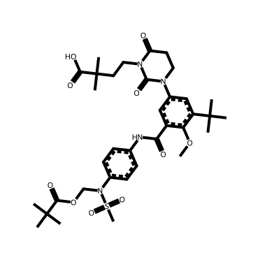 COc1c(C(=O)Nc2ccc(N(COC(=O)C(C)(C)C)S(C)(=O)=O)cc2)cc(N2CCC(=O)N(CCC(C)(C)C(=O)O)C2=O)cc1C(C)(C)C